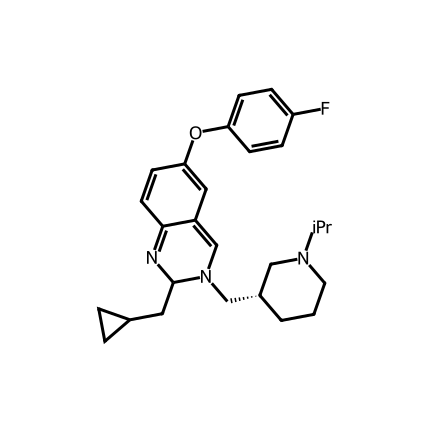 CC(C)N1CCC[C@H](CN2C=c3cc(Oc4ccc(F)cc4)ccc3=NC2CC2CC2)C1